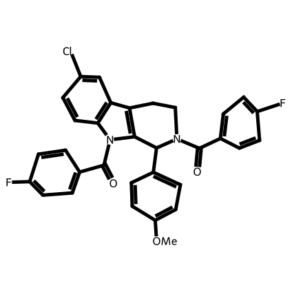 COc1ccc(C2c3c(c4cc(Cl)ccc4n3C(=O)c3ccc(F)cc3)CCN2C(=O)c2ccc(F)cc2)cc1